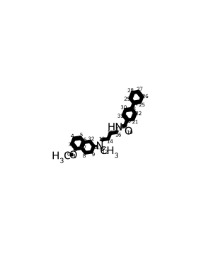 COc1cccc2c1CC[C@H](N(C)CCCCNC(=O)c1ccc(-c3ccccc3)cc1)C2